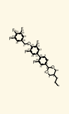 CCCC1COC(c2ccc(-c3cc(F)c(OCc4cc(F)c(F)c(F)c4)c(F)c3)c(F)c2)OC1